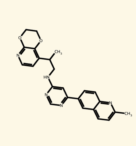 Cc1ccc2cc(-c3cc(NCC(C)c4ccnc5c4OCCO5)ncn3)ccc2n1